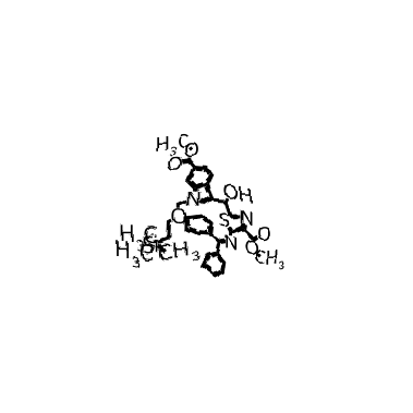 COC(=O)c1ccc2c(C(O)c3nc(C(=O)OC)c(N=C(c4ccccc4)c4ccccc4)s3)cn(COCC[Si](C)(C)C)c2c1